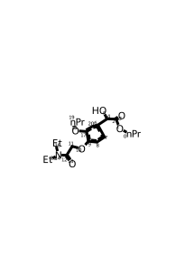 CCCOC(=O)C(O)c1ccc(OCC(=O)N(CC)CC)c(OCCC)c1